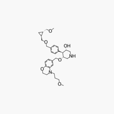 COCCCN1CCOc2ccc(CO[C@H]3CNC[C@@H](O)[C@@H]3c3ccc(COC[C@H]4C[C@@H]4COC)cc3)cc21